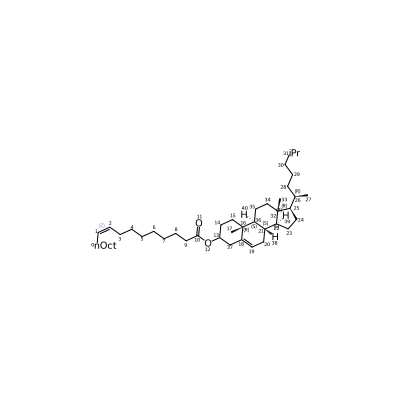 CCCCCCCC/C=C\CCCCCCCC(=O)OC1CC[C@@]2(C)C(=CC[C@H]3[C@@H]4CC[C@H]([C@H](C)CCCC(C)C)[C@@]4(C)CC[C@@H]32)C1